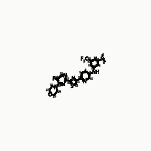 CN(C)c1cc(Nc2ccc(-c3csc(-c4ncc(F)c(N5CCOCC5)n4)n3)nc2)cc(C(F)(F)F)c1